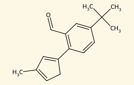 CC1=CCC(c2ccc(C(C)(C)C)cc2C=O)=C1